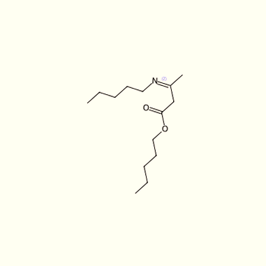 CCCCC/N=C(/C)CC(=O)OCCCCC